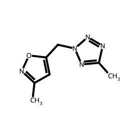 Cc1cc(Cn2nnc(C)n2)on1